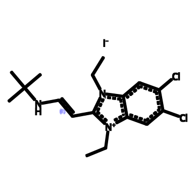 CCn1c(/C=C/NC(C)(C)C)[n+](CC)c2cc(Cl)c(Cl)cc21.[I-]